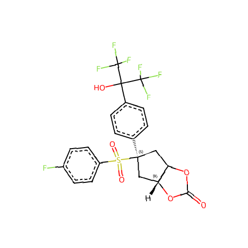 O=C1OC2C[C@](c3ccc(C(O)(C(F)(F)F)C(F)(F)F)cc3)(S(=O)(=O)c3ccc(F)cc3)C[C@H]2O1